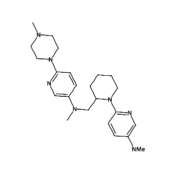 CNc1ccc(N2CCCCC2CN(C)c2ccc(N3CCN(C)CC3)nc2)nc1